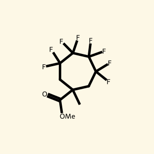 COC(=O)C1(C)CC(F)(F)C(F)(F)C(F)(F)C(F)(F)C1